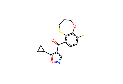 O=C(c1cnoc1C1CC1)c1ccc(F)c2c1SCCCO2